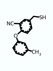 Cc1cccc(Oc2ccc(CS)cc2C#N)c1